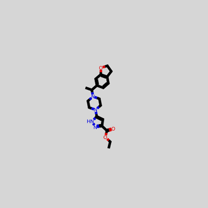 CCOC(=O)c1cc(N2CCN(C(C)c3ccc4c(c3)OCC4)CC2)[nH]n1